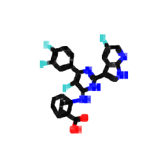 O=C(O)C1C2CCC(CC2)C1NC1NC(c2c[nH]c3ncc(F)cc23)=NC(c2ccc(F)c(F)c2)=C1F